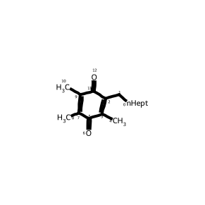 [CH2]CCCCCCCC1=C(C)C(=O)C(C)=C(C)C1=O